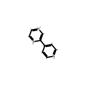 b1ccncc1-c1ccncc1